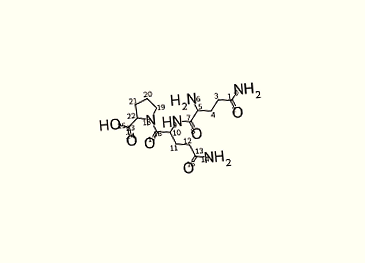 NC(=O)CCC(N)C(=O)NC(CCC(N)=O)C(=O)N1CCCC1C(=O)O